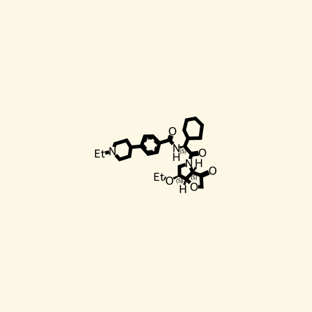 CCO[C@H]1CN(C(=O)[C@@H](NC(=O)c2ccc(C3CCN(CC)CC3)cc2)C2CCCCC2)[C@@H]2C(=O)CO[C@H]12